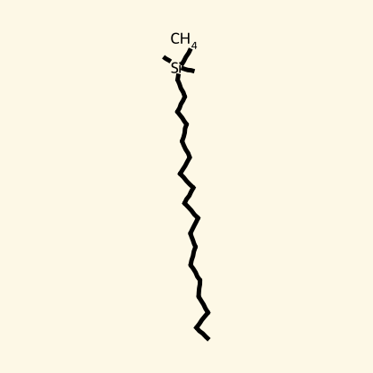 C.CCCCCCCCCCCCCCCCCC[Si](C)(C)C